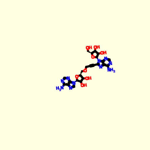 Nc1ncnc2c1ncn2[C@@H]1O[C@H](COCC#Cc2nc3c(N)ncnc3n2[C@@H]2O[C@H](CO)C(O)C2O)C(O)C1O